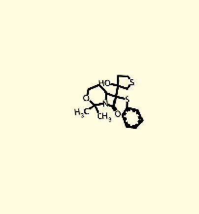 CC1(C)OCCC2N1C(=O)C2(Sc1ccccc1)C1(O)CCSC1